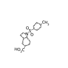 Cc1ccc(S(=O)(=O)n2ccc3cc(C(=O)O)ccc32)cc1